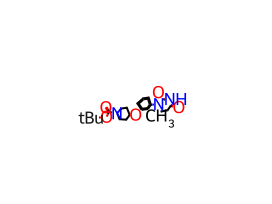 Cc1c(OC2CCN(C(=O)OC(C)(C)C)CC2)cccc1N1CCC(=O)NC1=O